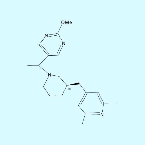 COc1ncc(C(C)N2CCC[C@H](Cc3cc(C)nc(C)c3)C2)cn1